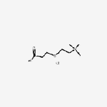 C[N+](C)(C)CCOCCC(=O)O.[Cl-]